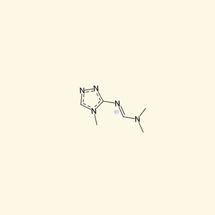 CN(C)/C=N/c1nncn1C